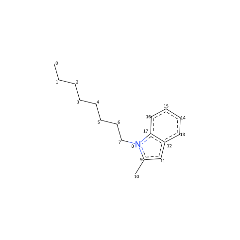 CCCCCCCCn1c(C)cc2ccccc21